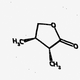 C[C@@H]1C(=O)OC[C@@H]1C